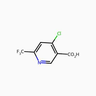 O=C(O)c1cnc(C(F)(F)F)cc1Cl